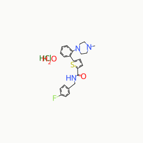 CN1CCN(c2ccccc2-c2ccc(C(=O)NCc3ccc(F)cc3)s2)CC1.Cl.O